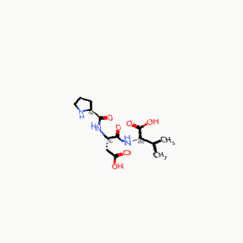 CC(C)[C@H](NC(=O)[C@H](CC(=O)O)NC(=O)[C@@H]1CCCN1)C(=O)O